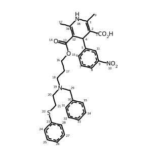 CC1=C(C(=O)O)C(c2cccc([N+](=O)[O-])c2)C(C(=O)OCCCN(CCSc2ccccc2)Cc2ccccc2)=C(C)N1